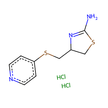 Cl.Cl.NC1=NC(CSc2ccncc2)CS1